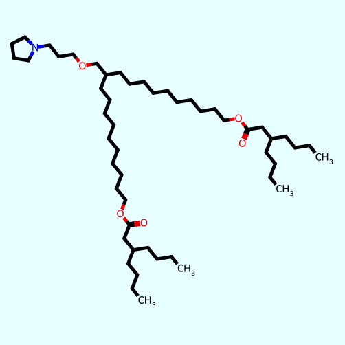 CCCCC(CCCC)CC(=O)OCCCCCCCCCCC(CCCCCCCCCCOC(=O)CC(CCCC)CCCC)COCCCN1CCCC1